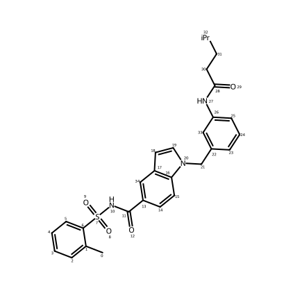 Cc1ccccc1S(=O)(=O)NC(=O)c1ccc2c(ccn2Cc2cccc(NC(=O)CCC(C)C)c2)c1